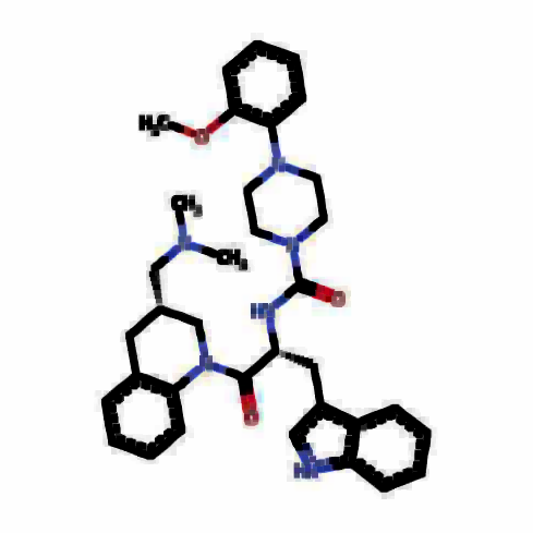 COc1ccccc1N1CCN(C(=O)N[C@H](Cc2c[nH]c3ccccc23)C(=O)N2C[C@@H](CN(C)C)Cc3ccccc32)CC1